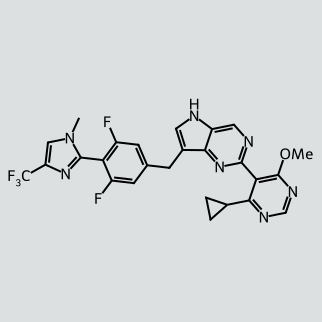 COc1ncnc(C2CC2)c1-c1ncc2[nH]cc(Cc3cc(F)c(-c4nc(C(F)(F)F)cn4C)c(F)c3)c2n1